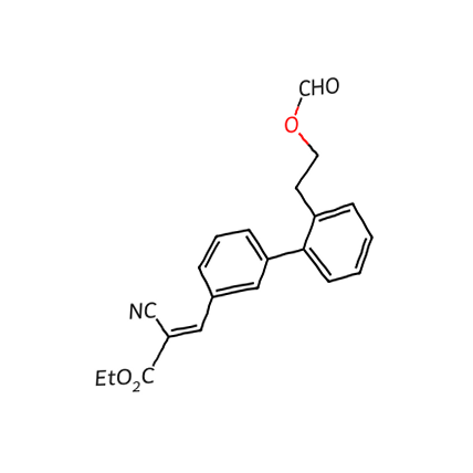 CCOC(=O)C(C#N)=Cc1cccc(-c2ccccc2CCOC=O)c1